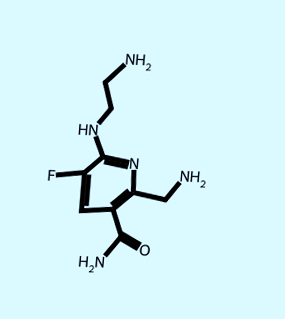 NCCNc1nc(CN)c(C(N)=O)cc1F